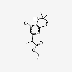 CCOC(=O)C(C)c1cc(Cl)c2c(c1)C=CC(C)(C)N2